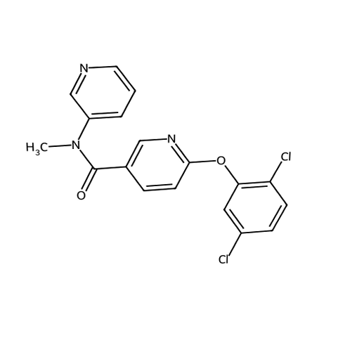 CN(C(=O)c1ccc(Oc2cc(Cl)ccc2Cl)nc1)c1cccnc1